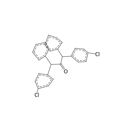 O=C(C(c1ccccc1)c1ccc(Cl)cc1)C(c1ccccc1)c1ccc(Cl)cc1